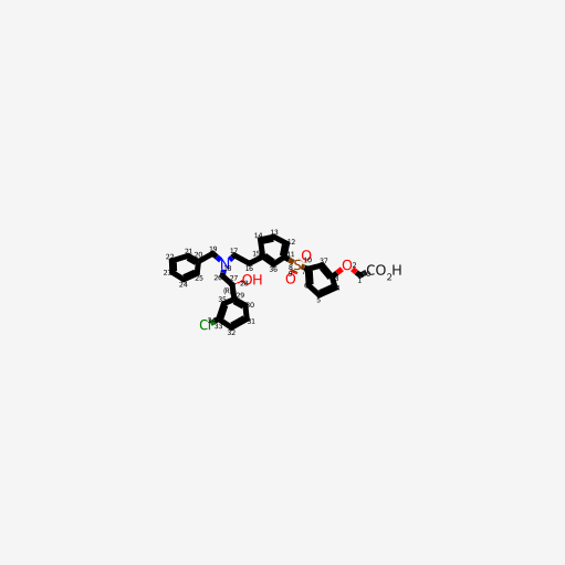 O=C(O)COc1cccc(S(=O)(=O)c2cccc(CCN(Cc3ccccc3)C[C@H](O)c3cccc(Cl)c3)c2)c1